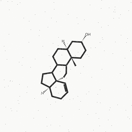 C[C@]12CC[C@@H](O)C[C@@H]1CCC1C3CC[C@@H]4CCC=C[C@]34CCC12